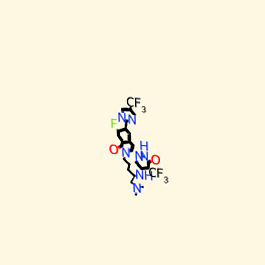 CN(C)C[C@@H](CCCn1ccc2cc(-c3ncc(C(F)(F)F)cn3)c(F)cc2c1=O)Nc1cn[nH]c(=O)c1C(F)(F)F